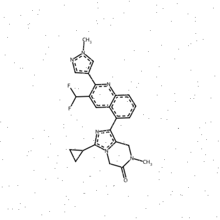 CN1Cc2c(-c3cccc4nc(-c5cnn(C)c5)c(C(F)F)cc34)nc(C3CC3)n2CC1=O